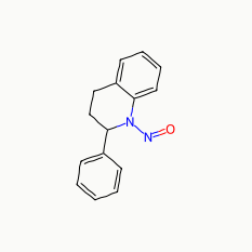 O=NN1c2ccccc2CCC1c1ccccc1